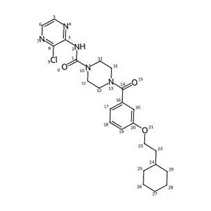 O=C(Nc1nccnc1Cl)N1CCN(C(=O)c2cccc(OCCC3CCCCC3)c2)CC1